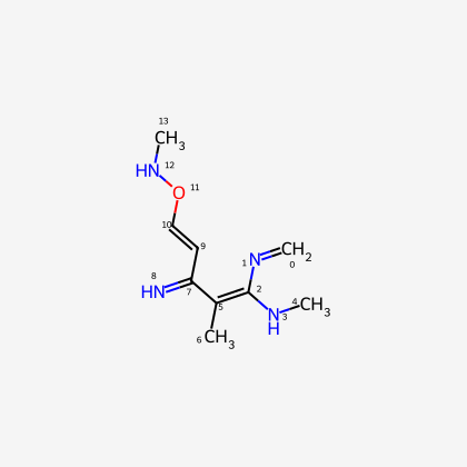 C=N/C(NC)=C(/C)C(=N)/C=C/ONC